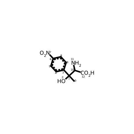 CC(O)(c1ccc([N+](=O)[O-])cc1)C(N)C(=O)O